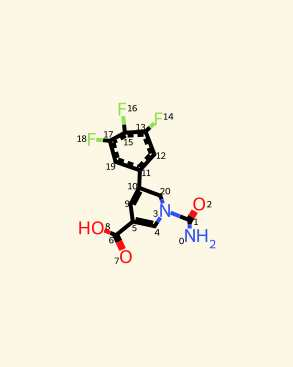 NC(=O)N1C=C(C(=O)O)C=C(c2cc(F)c(F)c(F)c2)C1